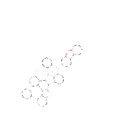 CC1(C)c2c(cccc2N(c2ccccc2)c2ccc3c(c2)oc2ccccc23)-c2c1c1ccccc1c1c2oc2cccc(-c3ccccc3)c21